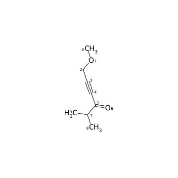 COCC#CC(=O)C(C)C